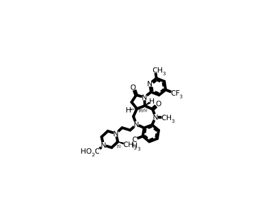 Cc1cc(C(F)(F)F)cc(N2C(=O)C[C@@H]3CN(CCN4CCN(C(=O)O)C[C@@H]4C)c4c(C)cccc4N(C)C(=O)[C@H]32)n1